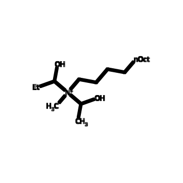 CCCCCCCCCCCC[N+](C)(C(C)O)C(O)CC